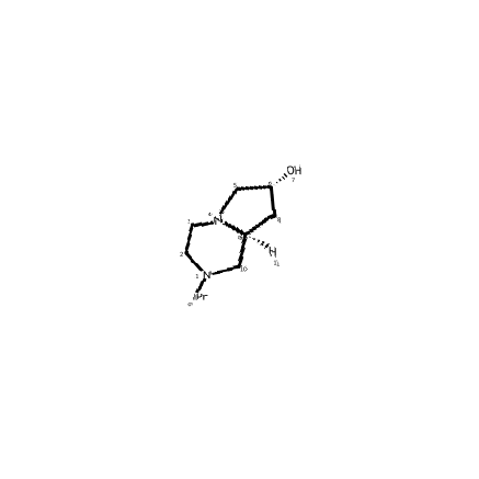 CC(C)N1CCN2C[C@H](O)C[C@H]2C1